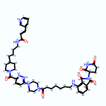 O=C(/C=C/c1cccnc1)NCCCCC1CCN(C(=O)c2ccc(N3CCN(C(=O)CCCCCCNc4cccc5c4C(=O)N(C4CCC(=O)NC4=O)C5=O)CC3)nn2)CC1